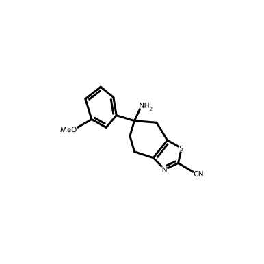 COc1cccc(C2(N)CCc3nc(C#N)sc3C2)c1